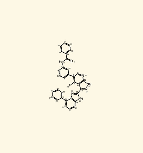 O=C(Nc1cncc(-c2cnc3[nH]nc(-c4nc5c(-c6cccnc6)nccc5[nH]4)c3c2F)c1)c1ccccc1